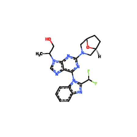 CC(CO)n1cnc2c(-n3c(C(F)F)nc4ccccc43)nc(N3CC4CC[C@@H](C3)O4)nc21